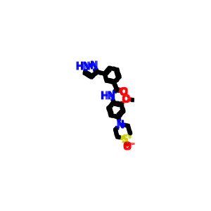 COc1cc(N2CC[S+]([O-])CC2)ccc1NC(=O)c1cccc(-c2cc[nH]n2)c1